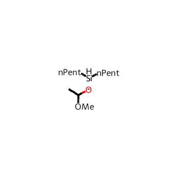 CCCCC[SiH](CCCCC)OC(C)OC